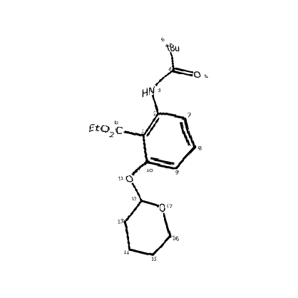 CCOC(=O)c1c(NC(=O)C(C)(C)C)cccc1OC1CCCCO1